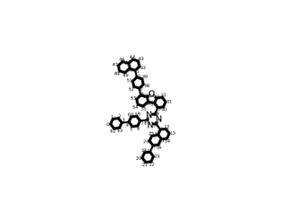 c1ccc(-c2ccc(-c3nc(-c4cccc5cc(-c6ccccc6)ccc45)nc(-c4cccc5oc6c(-c7ccc(-c8cccc9ccccc89)cc7)cccc6c45)n3)cc2)cc1